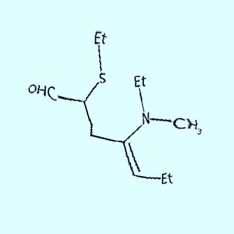 CC/C=C(/CC(C=O)SCC)N(C)CC